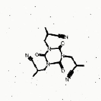 CC(C#N)Cn1c(=O)n(CC(C)C#N)c(=O)n(CC(C)C#N)c1=O